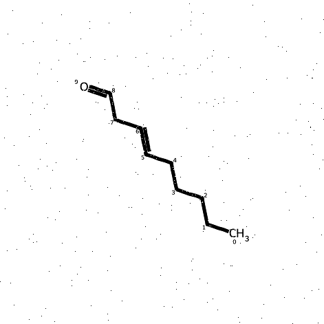 CCCCCC=CCC=O